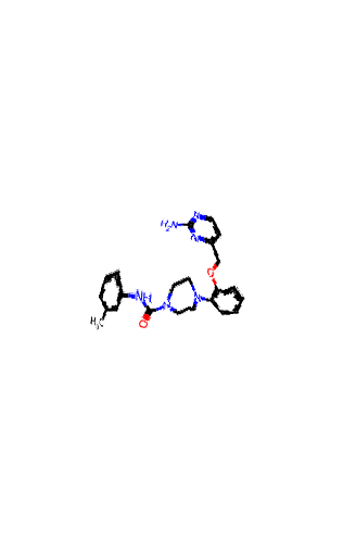 Cc1cccc(NC(=O)N2CCN(c3ccccc3OCc3ccnc(N)n3)CC2)c1